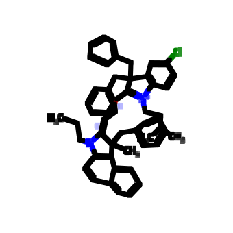 CCCN1/C(=C/C=C/C2=[N+](CCC(C)C)c3ccc(Cl)cc3C2(Cc2ccccc2)Cc2ccccc2)C(C)(Cc2ccccc2)c2c1ccc1ccccc21